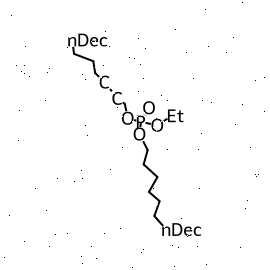 CCCCCCCCCCCCCCCCOP(=O)(OCC)OCCCCCCCCCCCCCCCC